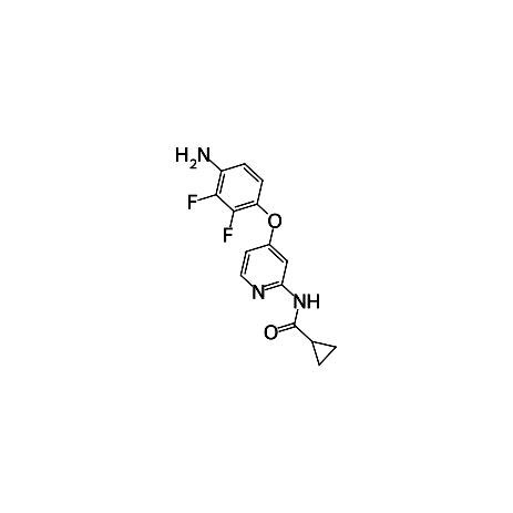 Nc1ccc(Oc2ccnc(NC(=O)C3CC3)c2)c(F)c1F